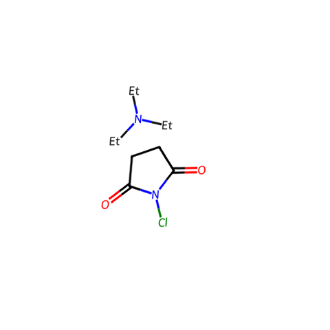 CCN(CC)CC.O=C1CCC(=O)N1Cl